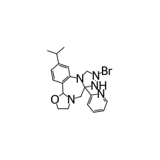 CC(C)c1ccc2c(c1)N1CN(Br)NC1(c1ccccn1)CN1CCOC21